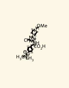 COCCN1CCN(c2nc(Cl)nc(N[C@@H](Cc3ccc(OC(=O)N(C)C)cc3)C(=O)O)n2)CC1